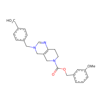 COc1cccc(COC(=O)N2CCC3=C(CN(Cc4ccc(C(=O)O)cc4)C=N3)C2)c1